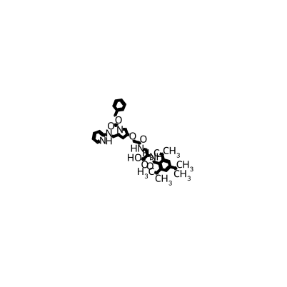 CC(C)c1cc(C(C)C)c(C(=O)NC(CNC(=O)COC2CC(CNc3ccccn3)N(C(=O)OCc3ccccc3)C2)C(=O)O)c(C(C)C)c1